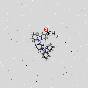 CC(=O)c1ccc2c(c1)c1ccccc1n2-c1cccc(-n2c3ccccc3c3ccccc32)c1